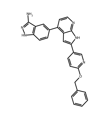 Nc1n[nH]c2ccc(-c3ccnc4[nH]c(-c5ccc(OCc6ccccc6)nc5)cc34)cc12